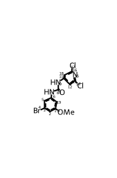 COc1cc(Br)cc(NC(=O)Nc2cc(Cl)nc(Cl)c2)c1